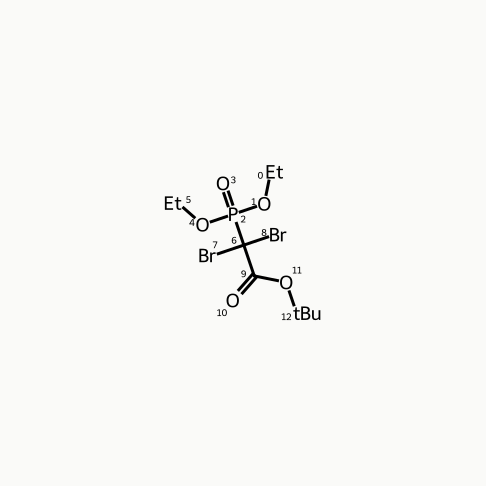 CCOP(=O)(OCC)C(Br)(Br)C(=O)OC(C)(C)C